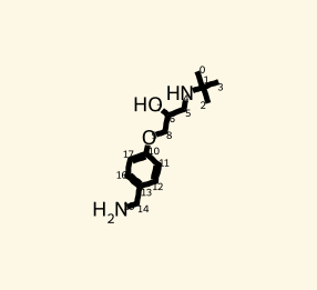 CC(C)(C)NCC(O)COc1ccc(CN)cc1